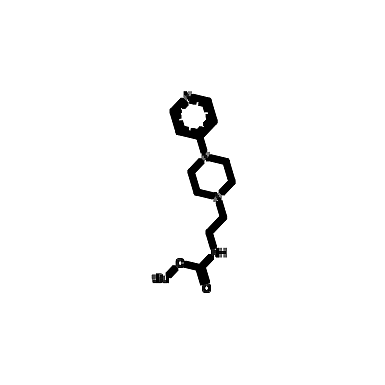 CC(C)(C)OC(=O)NCCN1CCN(c2ccncc2)CC1